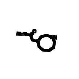 CNC(=O)CN1CCCCCNCC1